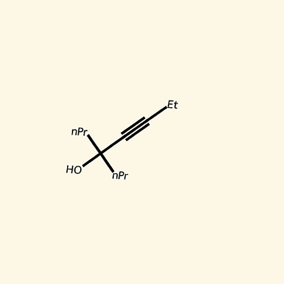 [CH2]CC#CC(O)(CCC)CCC